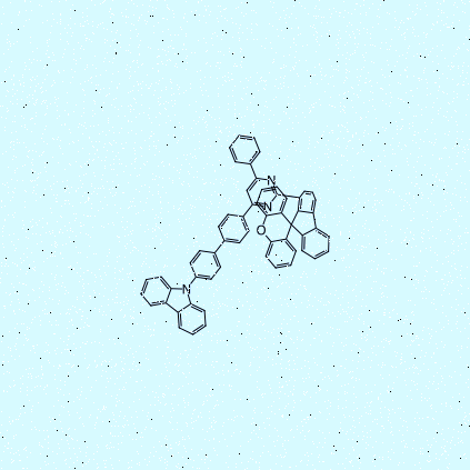 c1ccc(-c2cc(-c3ccc(-c4ccc(-n5c6ccccc6c6ccccc65)cc4)cc3)nc(-c3cccc4c3C3(c5ccccc5Oc5ccccc53)c3ccccc3-4)n2)cc1